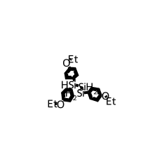 CCOc1ccc([SiH2][SiH2][SiH](c2ccc(OCC)cc2)c2ccc(OCC)cc2)cc1